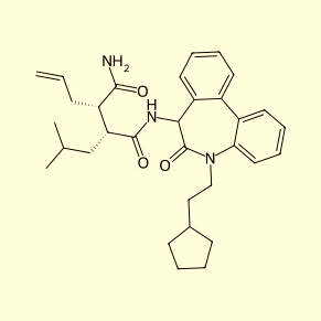 C=CC[C@H](C(N)=O)[C@@H](CC(C)C)C(=O)NC1C(=O)N(CCC2CCCC2)c2ccccc2-c2ccccc21